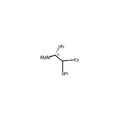 CCCC(CC)[C@@H](CCC)NC